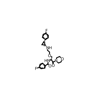 O=C(N[C@@H](COCCN[C@@H]1C[C@H]1c1ccc(F)cc1)C(=O)N1CCOCC1)c1ccc(F)cc1